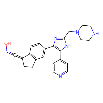 ON=C=C1CCc2cc(-c3nc(CN4CCNCC4)[nH]c3-c3ccncc3)ccc21